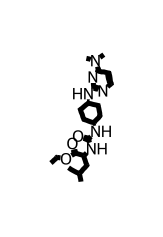 CCOC(=O)C(CC(C)C)NC(=O)N[C@H]1CC[C@@H](Nc2nccc(N(C)C)n2)CC1